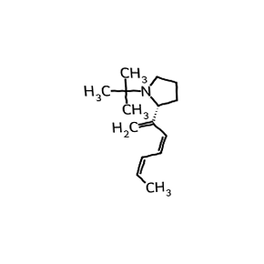 C=C(/C=C\C=C/C)[C@H]1CCCN1C(C)(C)C